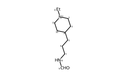 CCN1CCC(CCCN[C]=O)CC1